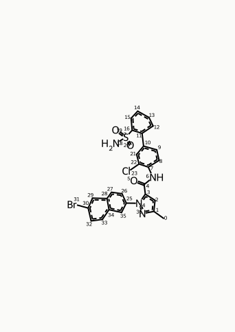 Cc1cc(C(=O)Nc2ccc(-c3ccccc3S(N)(=O)=O)cc2Cl)n(-c2ccc3cc(Br)ccc3c2)n1